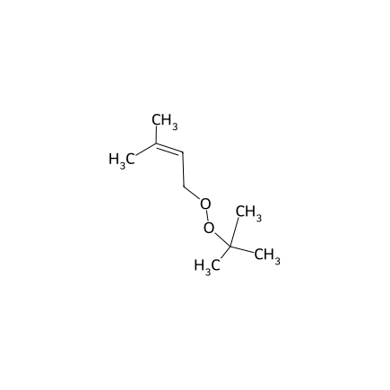 CC(C)=CCOOC(C)(C)C